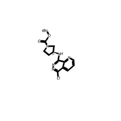 CC(C)(C)OC(=O)N1CC[C@H](Nc2nnc(Cl)c3cccnc23)C1